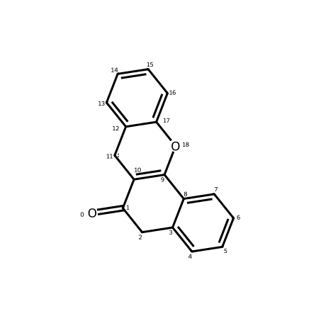 O=C1Cc2ccccc2C2=C1[C]c1ccccc1O2